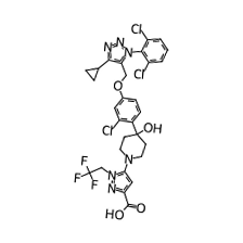 O=C(O)c1cc(N2CCC(O)(c3ccc(OCc4c(C5CC5)nnn4-c4c(Cl)cccc4Cl)cc3Cl)CC2)n(CC(F)(F)F)n1